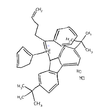 C=CCC/[C](c1ccccc1)=[Hf](\[C]1=CC=CC1)[CH]1c2cc(C(C)(C)C)ccc2-c2ccc(C(C)(C)C)cc21.Cl.Cl